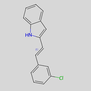 Clc1cccc(/C=C/c2cc3ccccc3[nH]2)c1